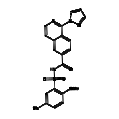 COc1ccc(C(C)(C)C)cc1S(=O)(=O)NC(=O)c1ccc2c(-n3cccn3)nccc2c1